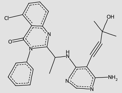 CC(Nc1ncnc(N)c1C#CC(C)(C)O)c1nc2cccc(Cl)c2c(=O)n1-c1ccccc1